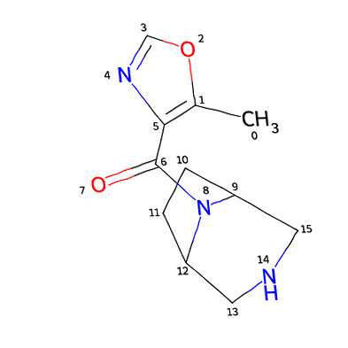 Cc1ocnc1C(=O)N1C2CCC1CNC2